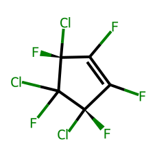 FC1=C(F)[C@@](F)(Cl)C(F)(Cl)[C@@]1(F)Cl